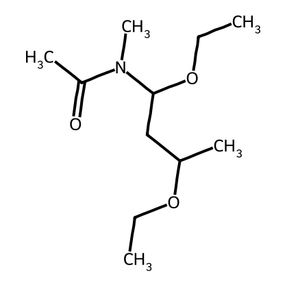 CCOC(C)CC(OCC)N(C)C(C)=O